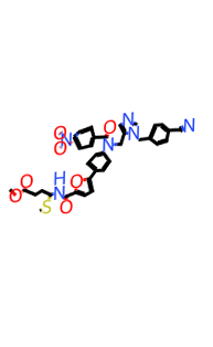 COC(=O)CCC(NC(=O)c1ccc(-c2ccc(N(Cc3cncn3Cc3ccc(C#N)cc3)C(=O)c3ccc([N+](=O)[O-])cc3)cc2)o1)SC